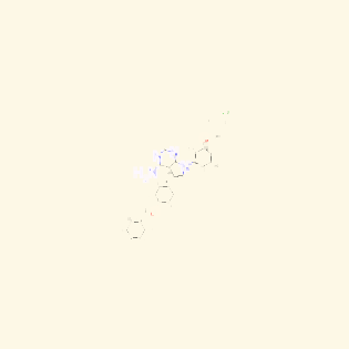 Nc1ncnc2c1c(-c1ccc(OCc3ccccc3)cc1)cn2-c1cccc(OCCCCl)c1